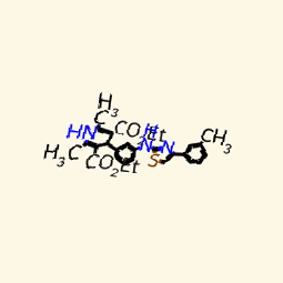 CCOC(=O)C1=C(C)NC(C)=C(C(=O)OCC)C1c1cccc(Nc2nc(-c3cccc(C)c3)cs2)c1